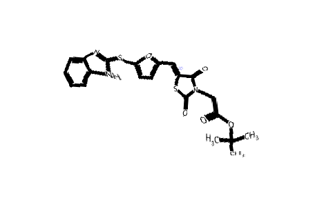 CC(C)(C)OC(=O)CN1C(=O)S/C(=C\c2ccc(Sc3nc4ccccc4[nH]3)o2)C1=O